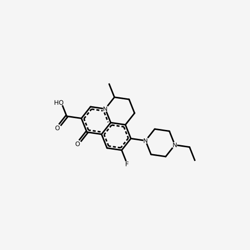 CCN1CCN(c2c(F)cc3c(=O)c(C(=O)O)cn4c3c2CCC4C)CC1